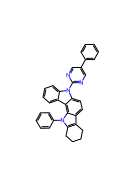 c1ccc(-c2cnc(-n3c4ccccc4c4c5c(ccc43)c3c(n5-c4ccccc4)CCCC3)nc2)cc1